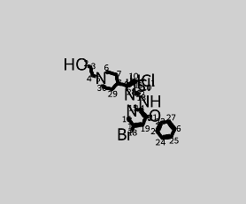 Cl.Cl.OCCN1CCC(c2csc(Nc3ncc(Br)cc3Oc3ccccc3)n2)CC1